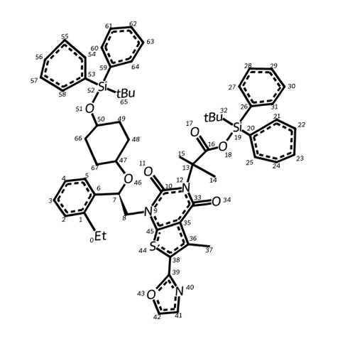 CCc1ccccc1[C@H](Cn1c(=O)n(C(C)(C)C(=O)O[Si](c2ccccc2)(c2ccccc2)C(C)(C)C)c(=O)c2c(C)c(-c3ncco3)sc21)OC1CCC(O[Si](c2ccccc2)(c2ccccc2)C(C)(C)C)CC1